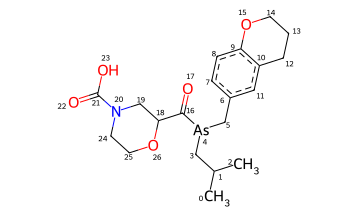 CC(C)C[As](Cc1ccc2c(c1)CCCO2)C(=O)C1CN(C(=O)O)CCO1